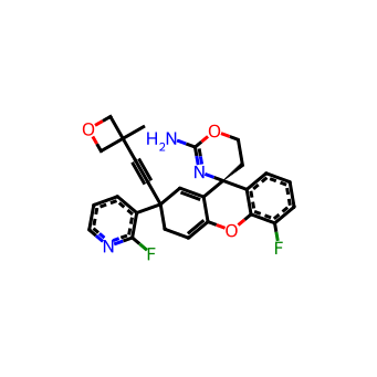 CC1(C#CC2(c3cccnc3F)C=C3C(=CC2)Oc2c(F)cccc2[C@]32CCOC(N)=N2)COC1